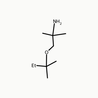 CCC(C)(C)OCC(C)(C)N